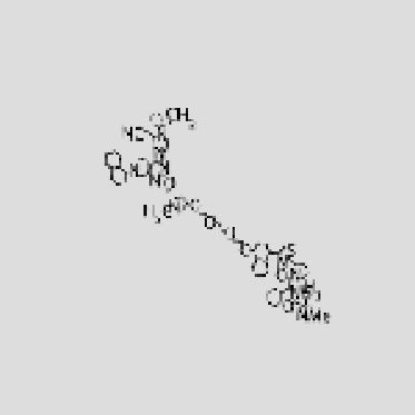 C=CC(=O)N1CCN(c2nc(OC[C@@H]3C[C@@H](OCCOCCOCCOc4ccc(-c5csc(C6CCCN6C(=O)[C@@H](NC(=O)C(C)NC)C6CCCCC6)n5)c5ccccc45)CN3C)nc3c2CCN(c2cccc4ccccc24)C3)CC1CC#N